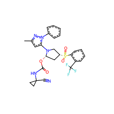 Cc1cc(N2C[C@H](S(=O)(=O)c3ccccc3C(F)(F)F)C[C@@H]2OC(=O)NC2(C#N)CC2)n(-c2ccccc2)n1